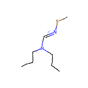 CCCN(/C=N/SC)CCC